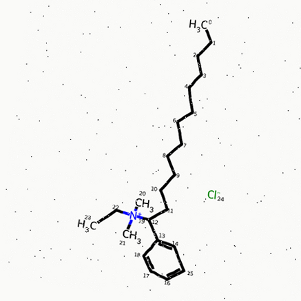 CCCCCCCCCCCCC(c1ccccc1)[N+](C)(C)CC.[Cl-]